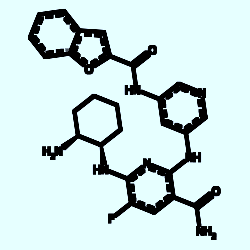 NC(=O)c1cc(F)c(N[C@@H]2CCCC[C@@H]2N)nc1Nc1cncc(NC(=O)c2cc3ccccc3o2)c1